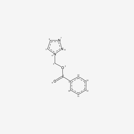 O=C(OCn1ccnn1)c1ccccc1